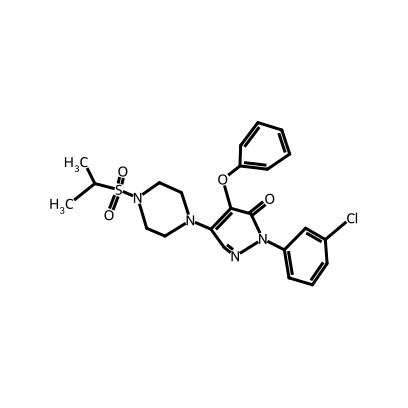 CC(C)S(=O)(=O)N1CCN(c2cnn(-c3cccc(Cl)c3)c(=O)c2Oc2ccccc2)CC1